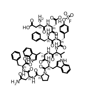 CC(C)[C@H](NC(=O)[C@@H](Cc1ccc(OS(=O)(=O)F)cc1)NC(=O)[C@@H](Cc1ccccc1)NC(=O)[C@@H](CC(=O)O)NC(=O)[C@@H](N)CC(=O)O)C(=O)N[C@@H](Cc1c[nH]c2ccccc12)C(=O)N[C@@H](Cc1c[nH]c2ccccc12)C(=O)N1CCC[C@H]1C(=O)N[C@@H](CC(N)=O)C(=O)N[C@@H](Cc1ccccc1)C(=O)O